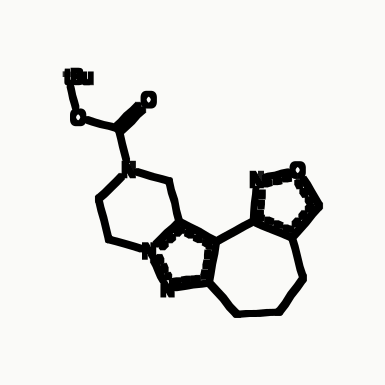 CC(C)(C)OC(=O)N1CCn2nc3c(c2C1)-c1nocc1CCC3